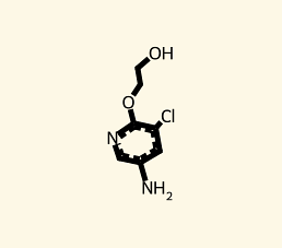 Nc1cnc(OCCO)c(Cl)c1